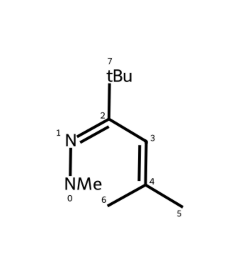 CN/N=C(\C=C(C)C)C(C)(C)C